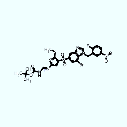 CSc1sc(/N=C/NC(=O)OC(C)(C)C)cc1S(=O)(=O)c1cc(Br)c2c(c1)ncn2Cc1cc([N+](=O)[O-])ccc1F